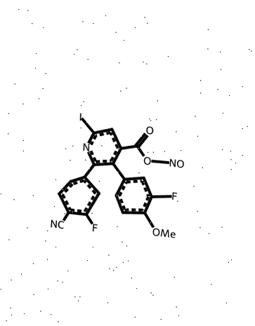 COc1ccc(-c2c(C(=O)ON=O)cc(I)nc2-c2ccc(C#N)c(F)c2)cc1F